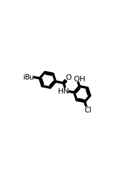 CCC(C)c1ccc(C(=O)Nc2cc(Cl)ccc2O)cc1